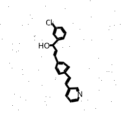 OC(C=Cc1ccc(C=Cc2cccnc2)cc1)c1cccc(Cl)c1